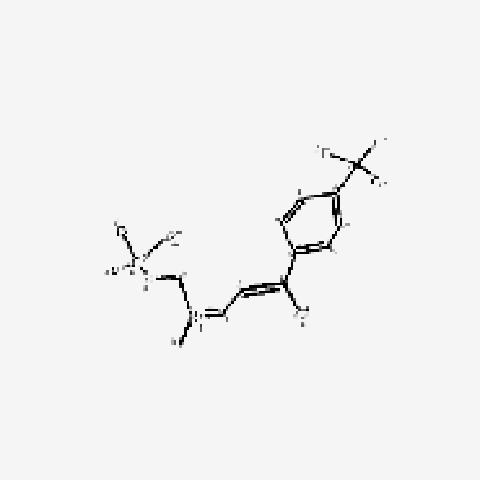 C[N+](=CC=C(Cl)c1ccc(C(F)(F)F)cc1)CO[Cl+3]([O-])([O-])[O-]